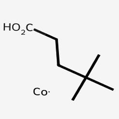 CC(C)(C)CCC(=O)O.[Co]